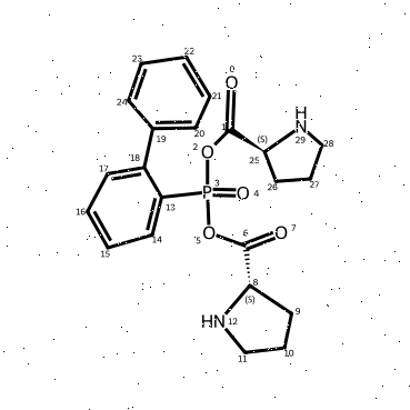 O=C(OP(=O)(OC(=O)[C@@H]1CCCN1)c1ccccc1-c1ccccc1)[C@@H]1CCCN1